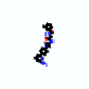 Cc1cccc(C(=O)NCC(=O)NC2CN([C@H]3CC[C@@H](c4cccc(N)n4)CC3)C2)c1